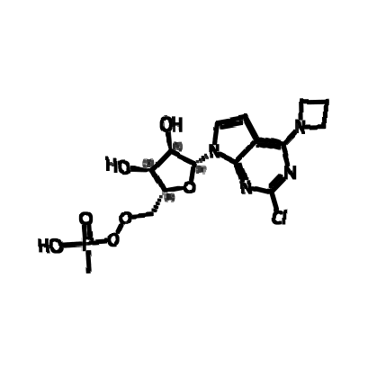 CP(=O)(O)OOC[C@H]1O[C@@H](n2ccc3c(N4CCC4)nc(Cl)nc32)[C@H](O)[C@@H]1O